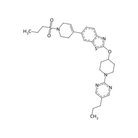 CCCc1cnc(N2CCC(Oc3nc4ccc(C5=CCN(S(=O)(=O)CCC)CC5)cc4s3)CC2)nc1